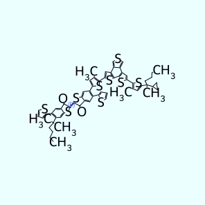 CCCCC(C)(C)c1cc2c(cc1-c1cccs1)C(=O)/C(=C1\Sc3cc(-c4cc(C)c(-c5cc6c7cscc7c7cc(-c8sc(C(C)(CCCC)C9CC9)cc8C)sc7c6s5)s4)c(-c4cccs4)cc3C1=O)S2